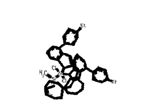 CCc1ccc(-c2cccc3c2C=C(CC2CCCCCC2)[CH]3[Zr]([Cl])([Cl])([CH]2C(CC3CCCCCC3)=Cc3c(-c4ccc(CC)cc4)cccc32)[SiH](C)CCC(F)(F)F)cc1